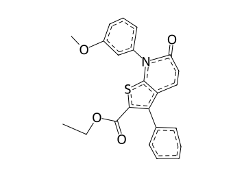 CCOC(=O)c1sc2c(ccc(=O)n2-c2cccc(OC)c2)c1-c1ccccc1